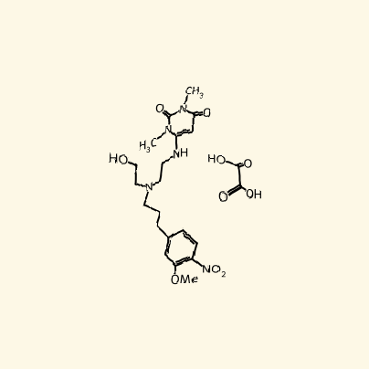 COc1cc(CCCN(CCO)CCNc2cc(=O)n(C)c(=O)n2C)ccc1[N+](=O)[O-].O=C(O)C(=O)O